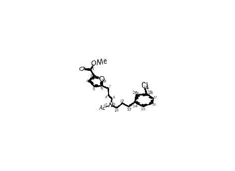 COC(=O)c1ccc(CCCN(CCCc2cccc(Cl)c2)C(C)=O)o1